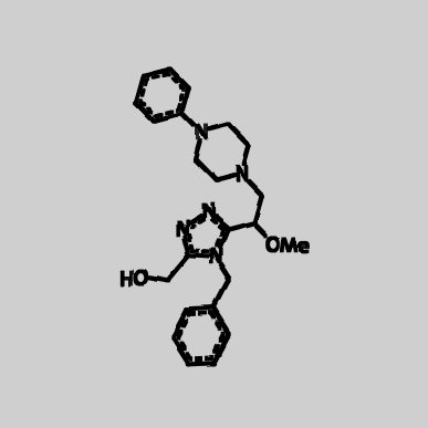 COC(CN1CCN(c2ccccc2)CC1)c1nnc(CO)n1Cc1ccccc1